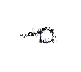 COc1ccc(NC(=O)OC[C@@H](C)[C@H]2OC(=O)[C@H]3CCCN3C(=O)c3coc(n3)CC(=O)C[C@H](O)/C=C(C)/C=C/CNC(=O)/C=C/[C@H]2C)cc1